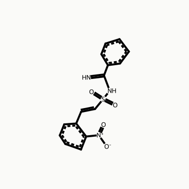 N=C(NS(=O)(=O)/C=C/c1ccccc1[N+](=O)[O-])c1ccccc1